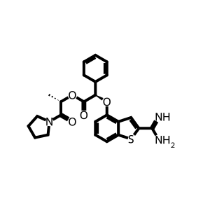 C[C@H](OC(=O)[C@H](Oc1cccc2sc(C(=N)N)cc12)C1C=CC=CC1)C(=O)N1CCCC1